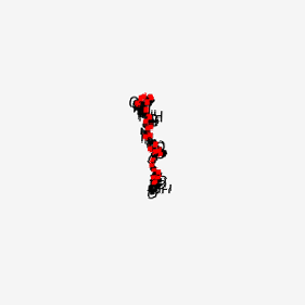 CC[C@@H]1C(=O)N(C)c2cnc(Nc3ccc(-c4cn([C@H]5CC[C@@H](N(CCOCCC#Cc6ccc7c(c6)CN(C6CCC(=O)NC6=O)C7=O)C(=O)OC(C)(C)C)CC5)nn4)cc3OC)nc2N1C1CCCC1